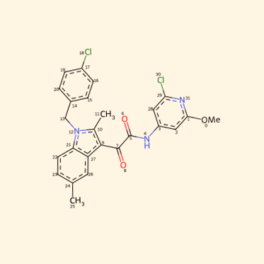 COc1cc(NC(=O)C(=O)c2c(C)n(Cc3ccc(Cl)cc3)c3ccc(C)cc23)cc(Cl)n1